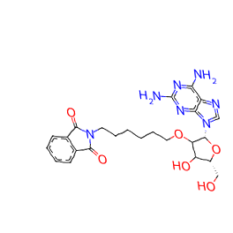 Nc1nc(N)c2ncn([C@@H]3O[C@H](CO)C(O)C3OCCCCCCN3C(=O)c4ccccc4C3=O)c2n1